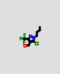 CCCCn1nc(C(F)(F)F)c(C=O)c1Cl